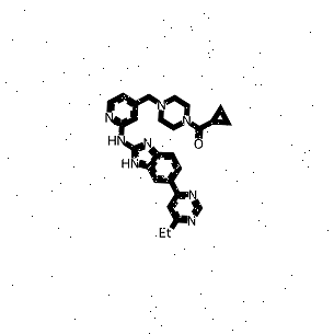 CCc1cc(-c2ccc3nc(Nc4cc(CN5CCN(C(=O)C6CC6)CC5)ccn4)[nH]c3c2)ncn1